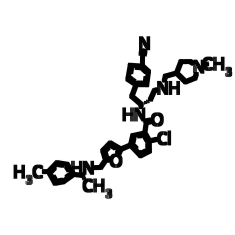 Cc1ccc([C@@H](C)NCc2ccc(-c3ccc(Cl)c(C(=O)N[C@@H](CCNCC4CCN(C)CC4)Cc4ccc(C#N)cc4)c3)o2)cc1